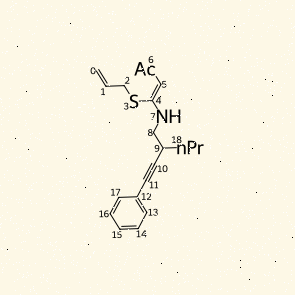 C=CCSC(=CC(C)=O)NCC(C#Cc1ccccc1)CCC